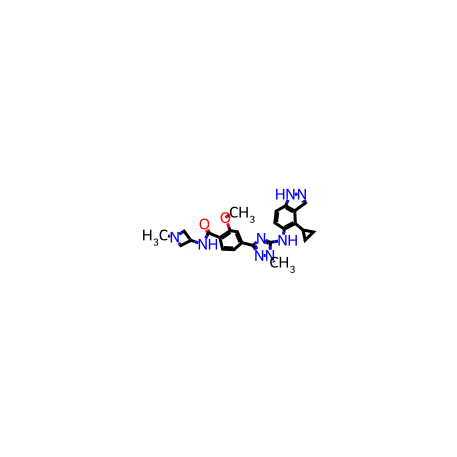 COc1cc(-c2nc(Nc3ccc4[nH]ncc4c3C3CC3)n(C)n2)ccc1C(=O)NC1CN(C)C1